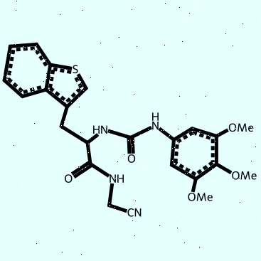 COc1cc(NC(=O)NC(Cc2csc3ccccc23)C(=O)NCC#N)cc(OC)c1OC